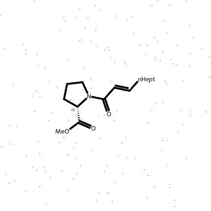 CCCCCCCC=CC(=O)N1CCC[C@H]1C(=O)OC